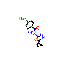 O=C(Nc1nnc(C2CC2)o1)c1ccc(Br)cc1F